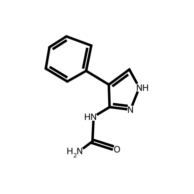 NC(=O)Nc1n[nH]cc1-c1ccccc1